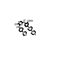 CCc1ncc(Nc2ccc(N3CCC(N4CCN(C)CC4)CC3)cc2OC)nc1NC1CCC(N2CCOCC2)CC1